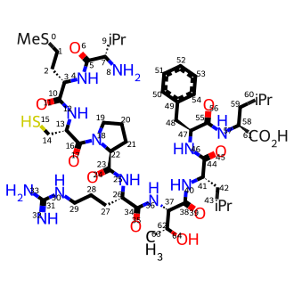 CSCC[C@H](NC(=O)[C@@H](N)C(C)C)C(=O)N[C@@H](CS)C(=O)N1CCC[C@H]1C(=O)N[C@@H](CCCNC(=N)N)C(=O)N[C@H](C(=O)N[C@@H](CC(C)C)C(=O)N[C@@H](Cc1ccccc1)C(=O)N[C@@H](CC(C)C)C(=O)O)[C@@H](C)O